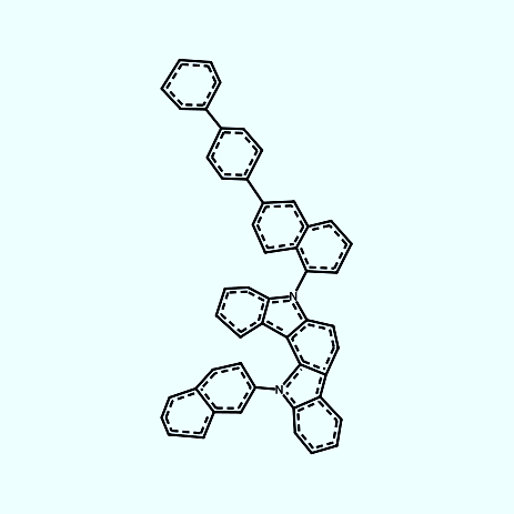 c1ccc(-c2ccc(-c3ccc4c(-n5c6ccccc6c6c5ccc5c7ccccc7n(-c7ccc8ccccc8c7)c56)cccc4c3)cc2)cc1